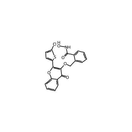 O=C(NO)c1ccccc1COc1c(-c2ccc(Cl)s2)oc2ccccc2c1=O